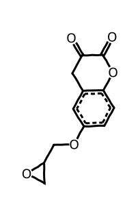 O=C1Cc2cc(OCC3CO3)ccc2OC1=O